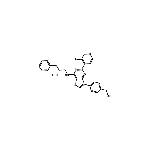 N[C@@H](CNc1nc(-c2ccncc2F)nc2c(-c3ccc(CO)cc3)csc12)Cc1ccccc1